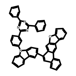 c1ccc(-c2nc(-c3ccccc3)nc(-c3cccc(-n4c5ccccc5c5cc(-c6cc7ccccc7c7cc8c(cc67)oc6ccccc68)ccc54)c3)n2)cc1